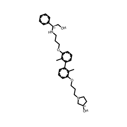 Cc1c(OCCCN[C@H](CO)c2ccccc2)cccc1-c1cccc(OCCCN2CC[C@@H](O)C2)c1C